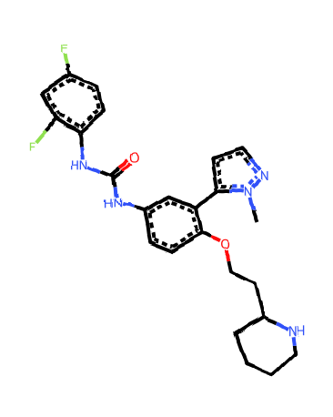 Cn1nccc1-c1cc(NC(=O)Nc2ccc(F)cc2F)ccc1OCCC1CCCCN1